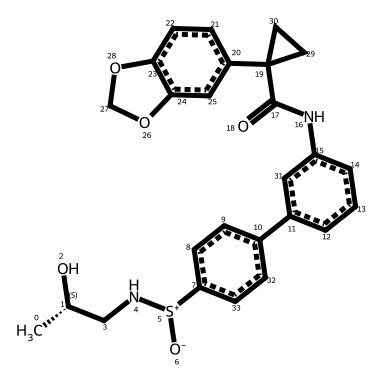 C[C@H](O)CN[S+]([O-])c1ccc(-c2cccc(NC(=O)C3(c4ccc5c(c4)OCO5)CC3)c2)cc1